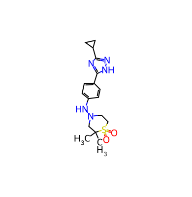 CC1(C)CN(Nc2ccc(-c3nc(C4CC4)n[nH]3)cc2)CCS1(=O)=O